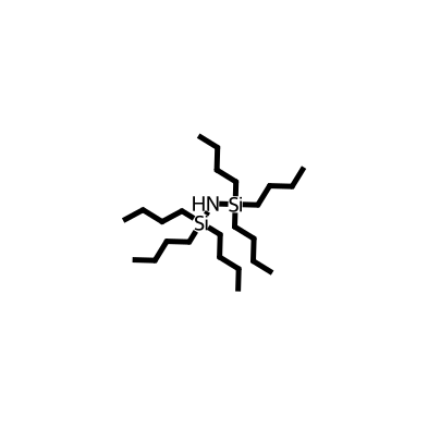 CCCC[Si](CCCC)(CCCC)N[Si](CCCC)(CCCC)CCCC